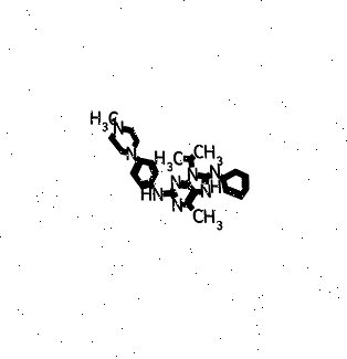 Cc1nc(Nc2ccc(N3CCN(C)CC3)cc2)nc2c1nc(NC1C=CC=CC1)n2C(C)C